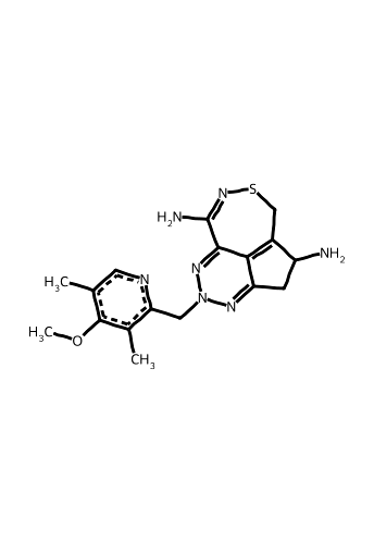 COc1c(C)cnc(CN2N=C3CC(N)C4=C3C(=N2)C(N)=NSC4)c1C